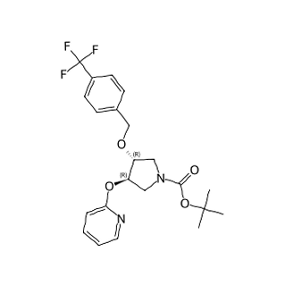 CC(C)(C)OC(=O)N1C[C@@H](OCc2ccc(C(F)(F)F)cc2)[C@H](Oc2ccccn2)C1